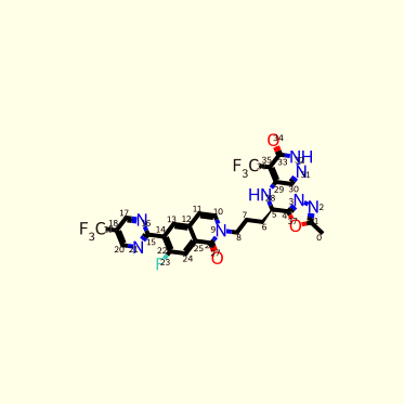 Cc1nnc([C@@H](CCCn2ccc3cc(-c4ncc(C(F)(F)F)cn4)c(F)cc3c2=O)Nc2cn[nH]c(=O)c2C(F)(F)F)o1